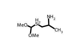 COC(OC)[SiH2]CC(C)N